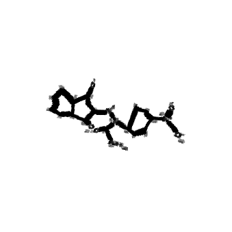 NC(=O)N(N=c1c(=O)c2ccccc2c1=O)c1ccc([N+](=O)[O-])cc1